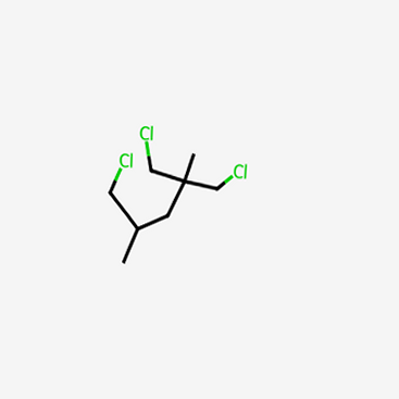 CC(CCl)CC(C)(CCl)CCl